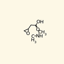 CNC.O=C(O)CC1CO1